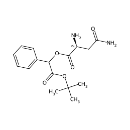 CC(C)(C)OC(=O)C(OC(=O)[C@@H](N)CC(N)=O)c1ccccc1